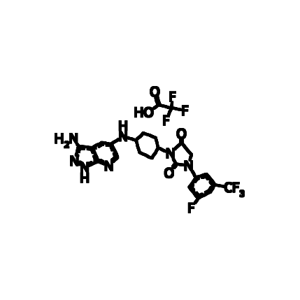 Nc1n[nH]c2ncc(NC3CCC(N4C(=O)CN(c5cc(F)cc(C(F)(F)F)c5)C4=O)CC3)cc12.O=C(O)C(F)(F)F